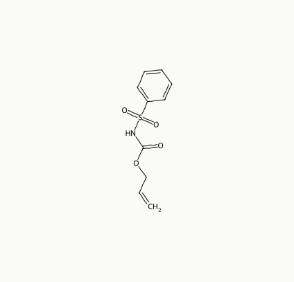 C=CCOC(=O)NS(=O)(=O)c1ccccc1